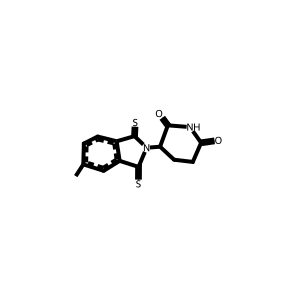 Cc1ccc2c(c1)C(=S)N(C1CCC(=O)NC1=O)C2=S